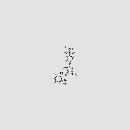 CCNS(=O)(=O)c1ccc(N2N=C(C)/C(=C/Nc3ccccc3OCC)C2=O)cc1